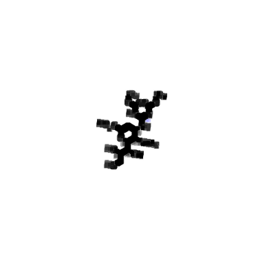 CC(=O)N[C@H]1[C@H]([C@H](O)[C@H](O)CO)OC(C(=O)O)=C[C@@H]1N/C(=N/C(=O)OC(C)(C)C)NC(=O)OC(C)(C)C